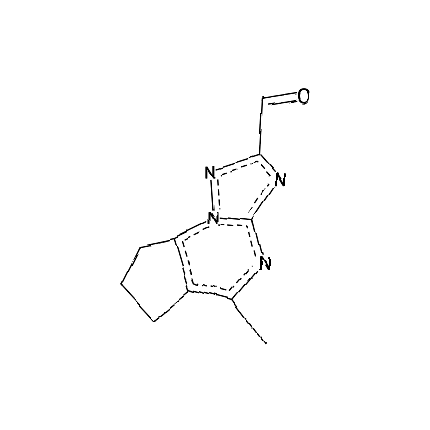 Cc1nc2nc(C=O)nn2c2c1CCC2